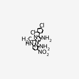 [CH2]C(Nc1ccc([N+](=O)[O-])c(N)n1)c1ncc(N)c(-c2ccc(Cl)cc2Cl)n1